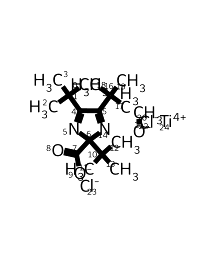 CC(C)(C)C1=NC(C(=O)[O-])(C(C)(C)C)N=C1C(C)(C)C.C[O-].[Cl-].[Cl-].[Ti+4]